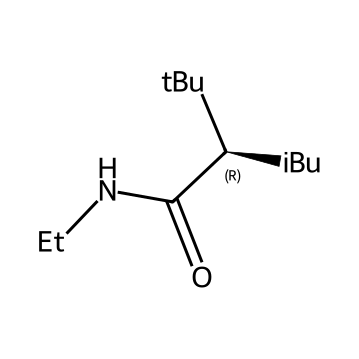 CCNC(=O)[C@H](C(C)CC)C(C)(C)C